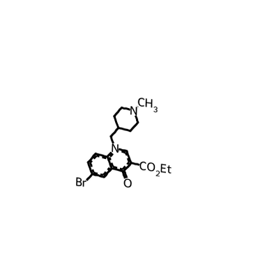 CCOC(=O)c1cn(CC2CCN(C)CC2)c2ccc(Br)cc2c1=O